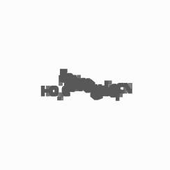 Cn1c(CN2CCC(c3cccc(OCc4cc(F)c(C#N)cc4F)n3)CC2)nc2c(OC(F)F)cc(C(=O)O)cc21